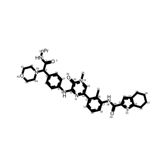 CCCNC(=O)C(c1ccc(Nc2nc(-c3cccc(NC(=O)c4cc5c(s4)CCCC5)c3C)cn(C)c2=O)cc1)N1CCOCC1